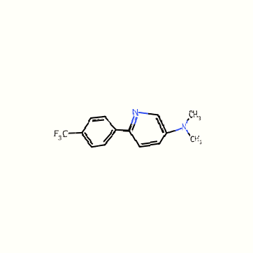 CN(C)c1ccc(-c2ccc(C(F)(F)F)cc2)nc1